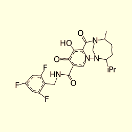 CC(C)C1CCC(C)N2CN1n1cc(C(=O)NCc3c(F)cc(F)cc3F)c(=O)c(O)c1C2=O